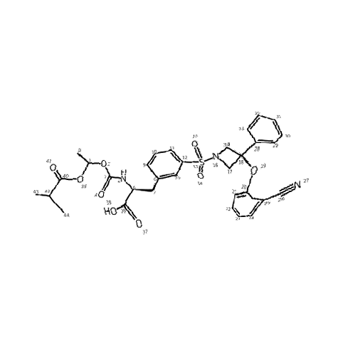 CC(OC(=O)N[C@@H](Cc1cccc(S(=O)(=O)N2CC(Oc3ccccc3C#N)(c3ccccc3)C2)c1)C(=O)O)OC(=O)C(C)C